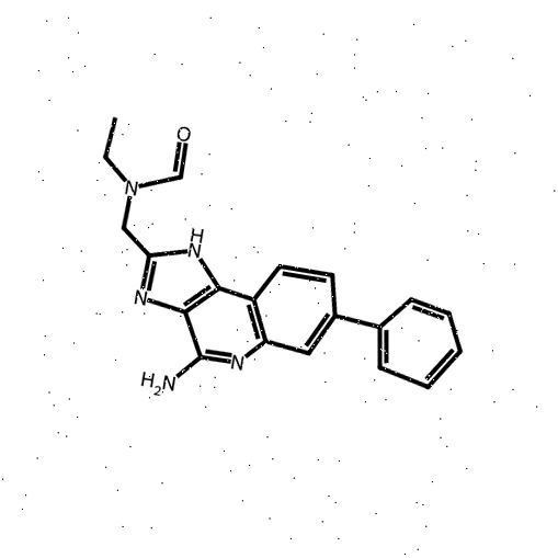 CCN(C=O)Cc1nc2c(N)nc3cc(-c4ccccc4)ccc3c2[nH]1